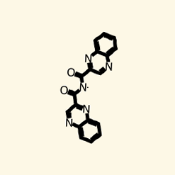 O=C([N]C(=O)c1cnc2ccccc2n1)c1cnc2ccccc2n1